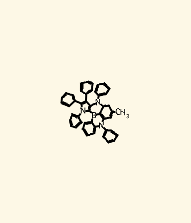 CC1=CC2=C3B(c4ccccc4N2c2ccccc2)c2c(c(-c4ccccc4)c(-c4ccccc4)n2-c2ccccc2)N(c2ccccc2)C3C1